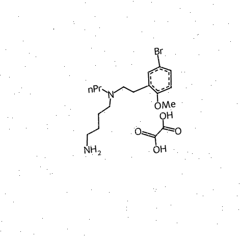 CCCN(CCCCN)CCc1cc(Br)ccc1OC.O=C(O)C(=O)O